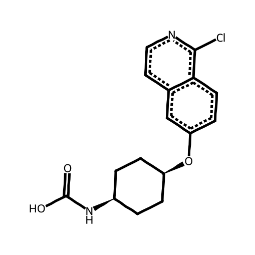 O=C(O)N[C@H]1CC[C@@H](Oc2ccc3c(Cl)nccc3c2)CC1